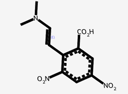 CN(C)/C=C/c1c(C(=O)O)cc([N+](=O)[O-])cc1[N+](=O)[O-]